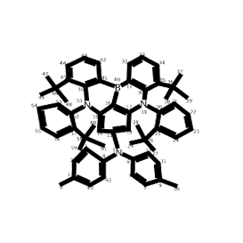 Cc1ccc(N(c2ccc(C)cc2)c2cc3c4c(c2)N(c2ccccc2C(C)(C)C)c2c(cccc2C(C)(C)C)B4c2cccc(C(C)(C)C)c2N3c2ccccc2C(C)(C)C)cc1